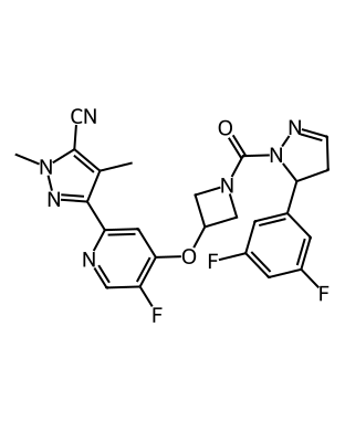 Cc1c(-c2cc(OC3CN(C(=O)N4N=CCC4c4cc(F)cc(F)c4)C3)c(F)cn2)nn(C)c1C#N